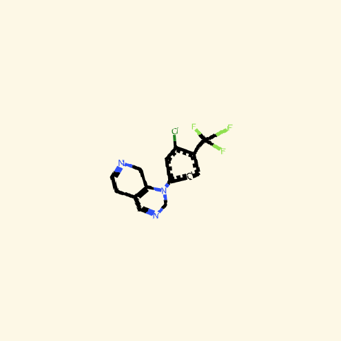 FC(F)(F)c1ccc(N2CN=CC3=C2CN=CC3)cc1Cl